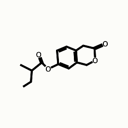 CCC(C)C(=O)Oc1ccc2c(c1)COC(=O)C2